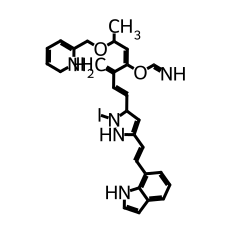 C=C(/C=C/C1C=C(/C=C/c2cccc3cc[nH]c23)NN1I)/C(=C\C(C)OCC1=CC=CCN1)OC=N